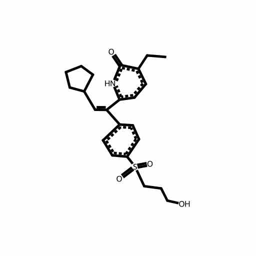 CCc1ccc(/C(=C\C2CCCC2)c2ccc(S(=O)(=O)CCCO)cc2)[nH]c1=O